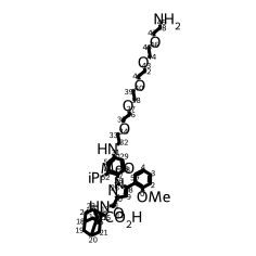 COc1cccc(OC)c1-c1cc(C(=O)NC2(C(=O)O)C3CC4CC(C3)CC2C4)nn1-c1ccc(NCCOCCOCCOCCOCCOCCN)cc1C(C)C